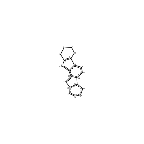 [CH]1CCCC2=C1N=c1c2ccc2c1=Nc1ccccc1-2